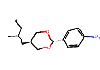 CCC(C)C[C@H]1CO[C@H](c2ccc(N)cc2)OC1